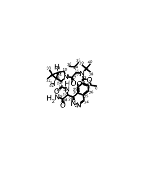 CCOC(=O)N([C@H](C(=O)N1C[C@H]2[C@@H]([C@H]1C(=O)NC(C(N)=O)c1nncc3ccccc13)C2(C)C)C(C)C)C(C)(C)C